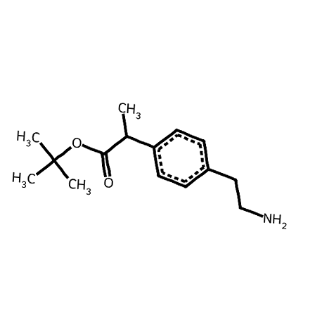 CC(C(=O)OC(C)(C)C)c1ccc(CCN)cc1